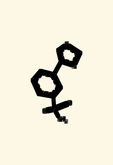 NS(=O)(=O)c1cccc(-c2cscn2)c1